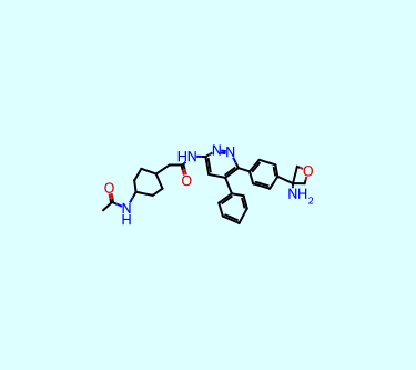 CC(=O)NC1CCC(CC(=O)Nc2cc(-c3ccccc3)c(-c3ccc(C4(N)COC4)cc3)nn2)CC1